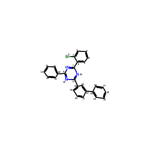 Brc1ccccc1-c1nc(-c2ccccc2)nc(-c2cccc(-c3ccccc3)c2)n1